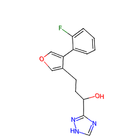 OC(CCc1cocc1-c1ccccc1F)c1nc[nH]n1